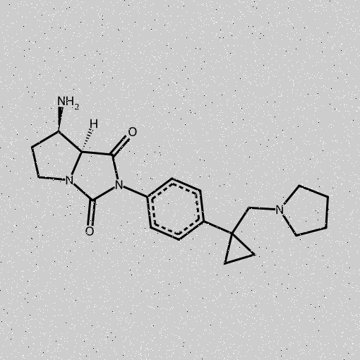 N[C@@H]1CCN2C(=O)N(c3ccc(C4(CN5CCCC5)CC4)cc3)C(=O)[C@H]12